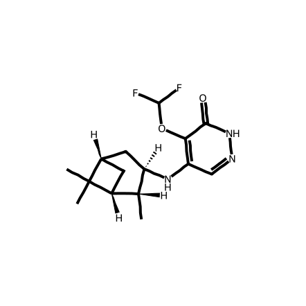 C[C@@H]1[C@H]2C[C@@H](C[C@H]1Nc1cn[nH]c(=O)c1OC(F)F)C2(C)C